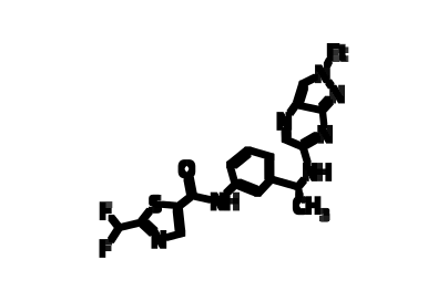 CCn1cc2ncc(N[C@@H](C)c3cccc(NC(=O)c4cnc(C(F)F)s4)c3)nc2n1